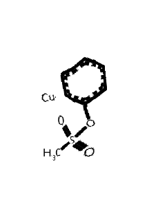 CS(=O)(=O)Oc1ccccc1.[Cu]